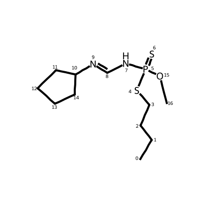 CCCCSP(=S)(N/C=N/C1CCCC1)OC